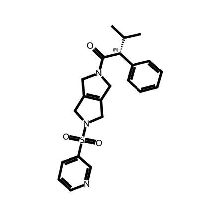 CC(C)[C@@H](C(=O)N1CC2=C(C1)CN(S(=O)(=O)c1cccnc1)C2)c1ccccc1